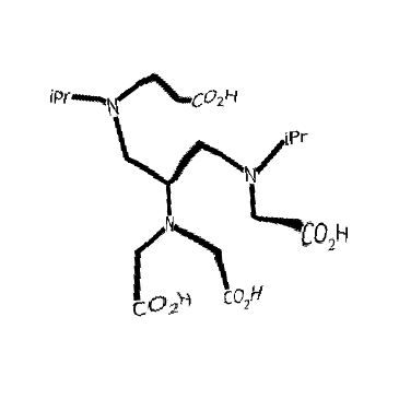 CC(C)N(CC(=O)O)CC(CN(CC(=O)O)C(C)C)N(CC(=O)O)CC(=O)O